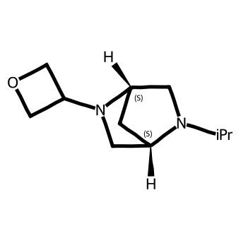 CC(C)N1C[C@@H]2C[C@H]1CN2C1COC1